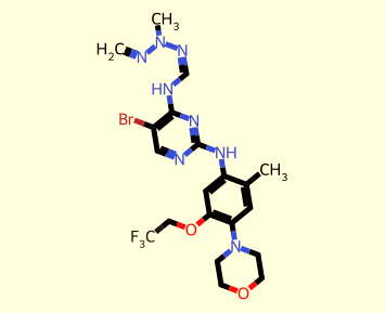 C=NN(C)/N=C\Nc1nc(Nc2cc(OCC(F)(F)F)c(N3CCOCC3)cc2C)ncc1Br